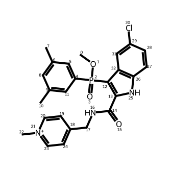 COP(=O)(c1cc(C)cc(C)c1)c1c(C(=O)NCc2cc[n+](C)cc2)[nH]c2ccc(Cl)cc12